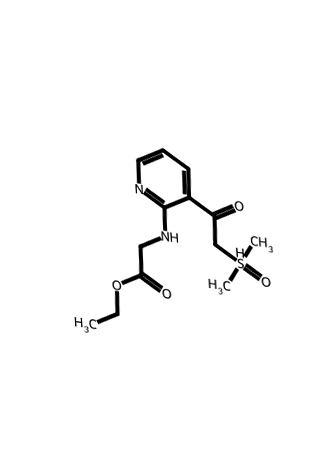 CCOC(=O)CNc1ncccc1C(=O)C[SH](C)(C)=O